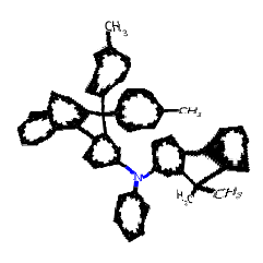 Cc1ccc(C2(c3ccc(C)cc3)c3cc(N(c4ccccc4)c4ccc5c(c4)C(C)(C)c4ccccc4-5)ccc3-c3c2ccc2ccccc32)cc1